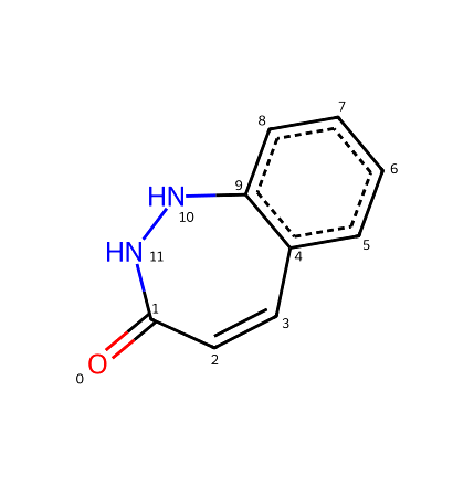 O=C1C=Cc2ccccc2NN1